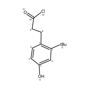 CC(C)(C)c1cc(O)ccc1CCC(=O)Cl